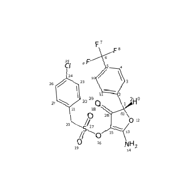 [2H][C@@]1(c2ccc(C(F)(F)F)cc2)OC(N)=C(OS(=O)(=O)Cc2ccc(Cl)cc2)C1=O